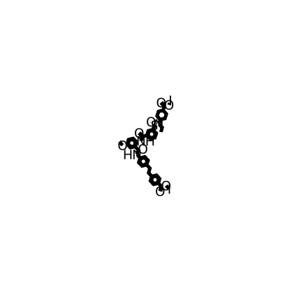 CCN(C1CCC(C(=O)OI)CC1)[S+]([O-])c1cccc(C(=O)Nc2ccc(OC)cc2C(=O)Nc2ccc(CCc3ccc(C(=O)OI)cc3)cc2)c1